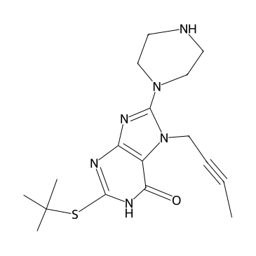 CC#CCn1c(N2CCNCC2)nc2nc(SC(C)(C)C)[nH]c(=O)c21